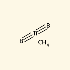 C.[B]#[Ti]#[B]